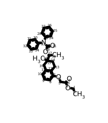 CCOC(=O)COc1cccc2c1CCC(C)(C(C)OC(=O)N(c1ccccc1)c1ccccc1)C2